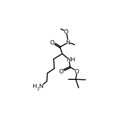 CON(C)C(=O)C(CCCCN)NC(=O)OC(C)(C)C